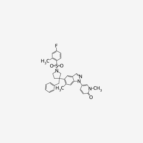 Cc1cc2c(cnn2-c2ccc(=O)n(C)c2)cc1C1(Cc2ccccc2)CCN(S(=O)(=O)c2ccc(F)cc2C)C1